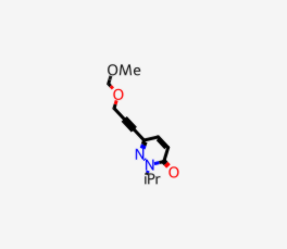 COCOCC#Cc1ccc(=O)n(C(C)C)n1